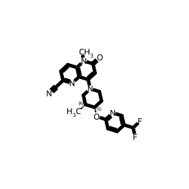 C[C@@H]1CN(c2cc(=O)n(C)c3ccc(C#N)nc23)CC[C@@H]1Oc1ccc(C(F)F)cn1